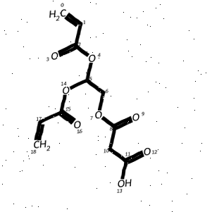 C=CC(=O)OC(COC(=O)CC(=O)O)OC(=O)C=C